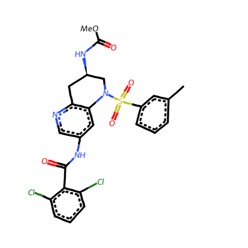 COC(=O)N[C@@H]1Cc2ncc(NC(=O)c3c(Cl)cccc3Cl)cc2N(S(=O)(=O)c2cccc(C)c2)C1